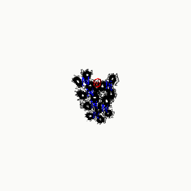 c1ccc(N(c2ccccc2)c2cc3c4c(c2)N(c2ccccc2)c2cc5c(cc2B4c2cc4c6ccccc6n(-c6ccccc6)c4cc2O3)B2c3ccccc3N(c3ccccc3)c3cc(N(c4ccccc4)c4ccccc4)cc(c32)N5c2ccccc2)cc1